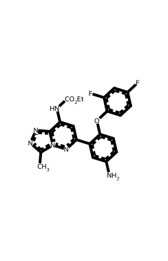 CCOC(=O)Nc1cc(-c2cc(N)ccc2Oc2ccc(F)cc2F)nn2c(C)nnc12